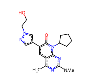 CNc1nc(C)c2cc(-c3cnn(CCO)c3)c(=O)n(C3CCCC3)c2n1